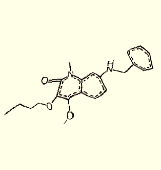 CCCCOc1c(OC)c2ccc(NCc3ccccc3)cc2n(C)c1=O